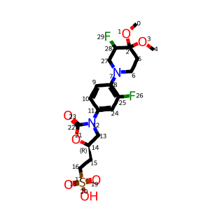 COC1(OC)CCN(c2ccc(N3C[C@@H](CCS(=O)(=O)O)OC3=O)cc2F)CC1F